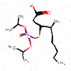 CCCCCC(C)C(CC(=O)O)SP(=S)(OC(C)C)OC(C)C